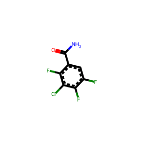 NC(=O)c1cc(F)c(F)c(Cl)c1F